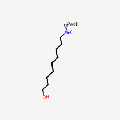 CCCCCNCCCCCCCCCO